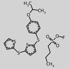 CC(C)Oc1ccc(Sc2ccc(Sc3cccs3)s2)cc1.CCCCS(=O)(=O)OF